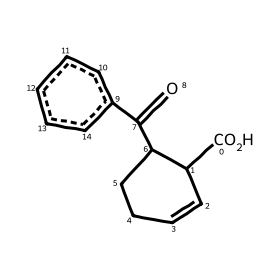 O=C(O)C1C=CCCC1C(=O)c1ccccc1